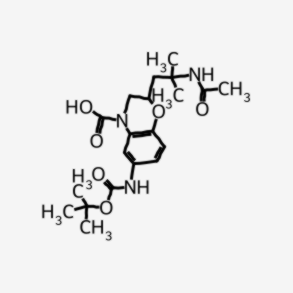 CC(=O)NC(C)(C)CC1CN(C(=O)O)c2cc(NC(=O)OC(C)(C)C)ccc2O1